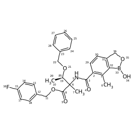 Cc1c(C(=O)NC(C)(C(=O)OCc2ccc(F)cc2)[C@@H](C)OCc2ccccc2)ccc2c1B(O)OC2